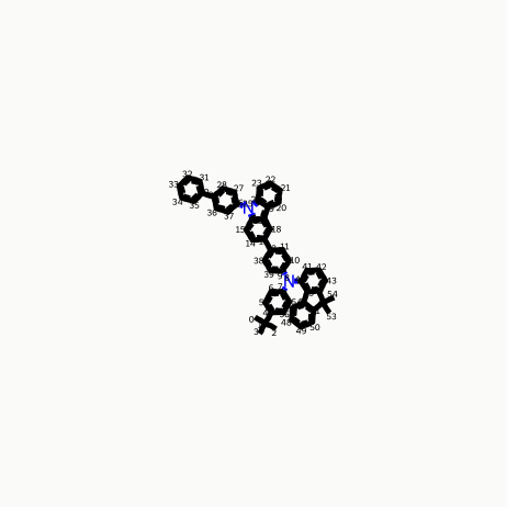 CC(C)(C)c1ccc(N(c2ccc(-c3ccc4c(c3)c3ccccc3n4-c3ccc(-c4ccccc4)cc3)cc2)c2cccc3c2-c2ccccc2C3(C)C)cc1